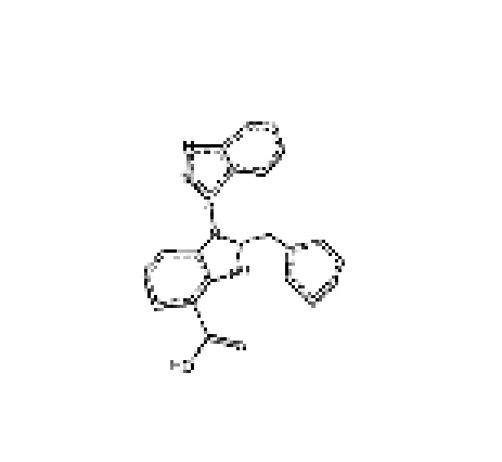 O=C(O)c1cccc2c1NC(Cc1ccccc1)N2n1nnc2ccccc21